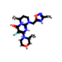 Cc1noc(CN2CCC(C(F)(F)F)n3c2nc(N2CCOCC2C)c(F)c3=O)n1